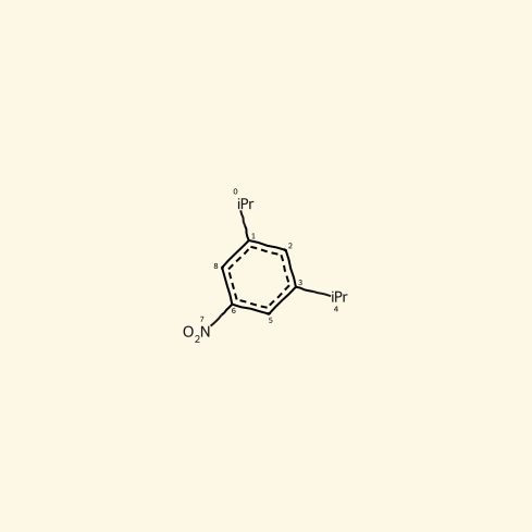 [CH2]C(C)c1cc(C(C)C)cc([N+](=O)[O-])c1